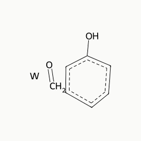 C=O.Oc1ccccc1.[W]